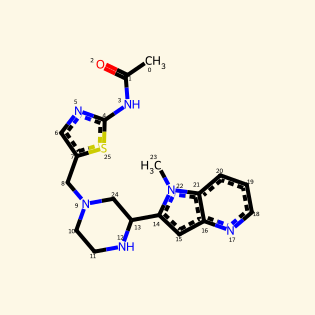 CC(=O)Nc1ncc(CN2CCNC(c3cc4ncccc4n3C)C2)s1